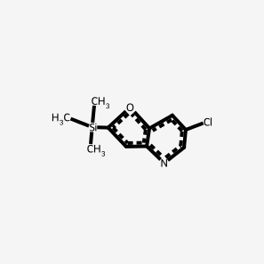 C[Si](C)(C)c1cc2ncc(Cl)cc2o1